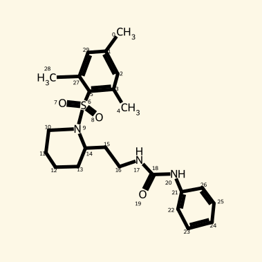 Cc1cc(C)c(S(=O)(=O)N2CCCCC2CCNC(=O)Nc2ccccc2)c(C)c1